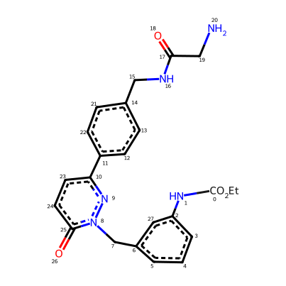 CCOC(=O)Nc1cccc(Cn2nc(-c3ccc(CNC(=O)CN)cc3)ccc2=O)c1